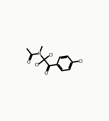 CC(=O)N(C)C(Cl)(Cl)C(=O)c1ccc(Cl)cc1